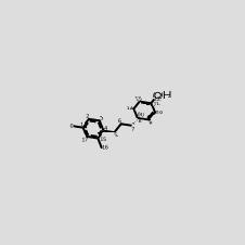 Cc1ccc(CCC[C@H]2C=CC(O)=CC2)c(C)c1